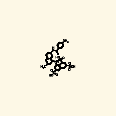 Cc1cc(Nc2cc(S(=O)(=O)O)cc3cc(S(=O)(=O)O)cc(S(=O)(=O)O)c23)c2cc(NC(=O)c3ccc(N)cc3)ccc2n1